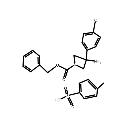 Cc1ccc(S(=O)(=O)O)cc1.NC1(c2ccc(Cl)cc2)CN(C(=O)OCc2ccccc2)C1